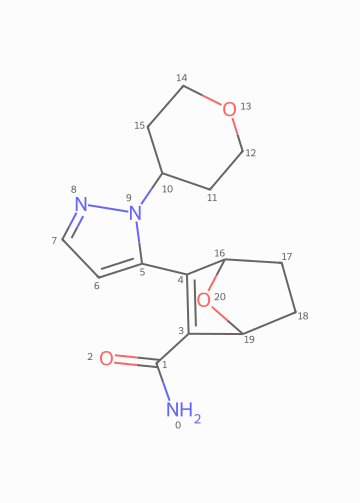 NC(=O)C1=C(c2ccnn2C2CCOCC2)C2CCC1O2